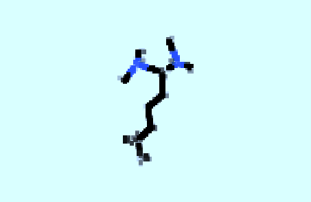 CCCC[SiH2]CCC[SiH](N(C)C)N(C)C